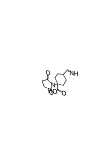 N=CC1CCC(C(=O)O)(N2C(=O)CCC2=O)CC1